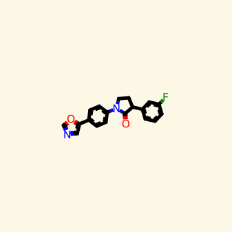 O=C1C(c2cccc(F)c2)CCN1c1ccc(-c2cnco2)cc1